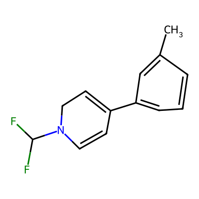 Cc1cccc(C2=CCN(C(F)F)C=C2)c1